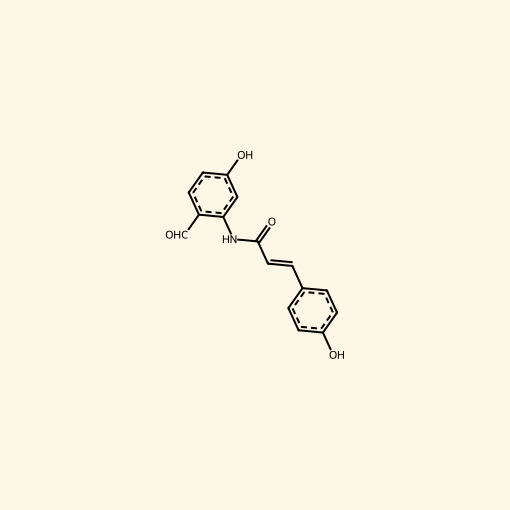 O=Cc1ccc(O)cc1NC(=O)/C=C/c1ccc(O)cc1